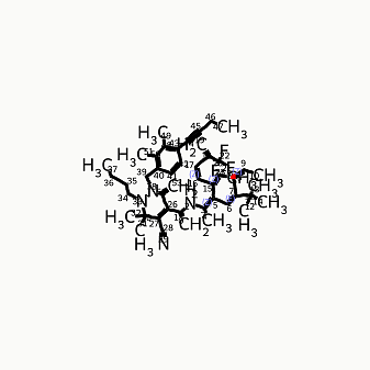 C=C(N/C(C)=C(/C=C(\C=C/C)C(C)(C)C)C(\C=C/C(=C)C(F)(F)F)=C/C)C1=C(C#N)C(C)(C)N(CCCC)N(Cc2ccc(C#CCC)c(C)c2C)C1=C